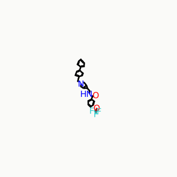 O=C(NCC1C2CN(Cc3ccc(-c4ccccc4)cc3)CC12)c1cccc(OC(F)(F)F)c1